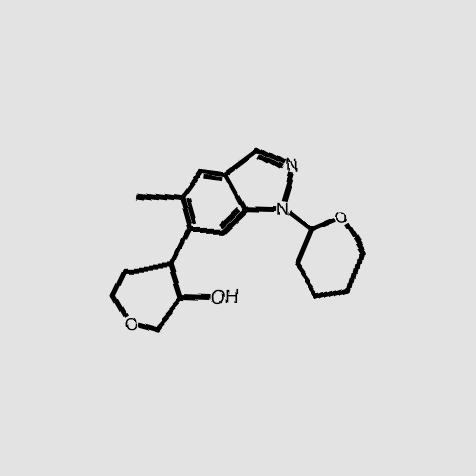 Cc1cc2cnn(C3CCCCO3)c2cc1C1CCOCC1O